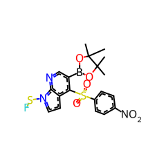 CC1(C)OB(c2cnc3c(ccn3SF)c2S(=O)(=O)c2ccc([N+](=O)[O-])cc2)OC1(C)C